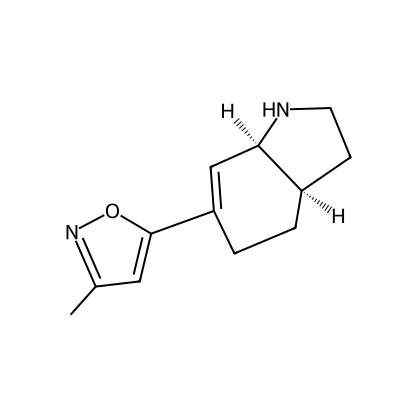 Cc1cc(C2=C[C@H]3NCC[C@H]3CC2)on1